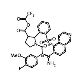 COc1cc([C@@H](C(=O)N2CCC(C(=O)OC(=O)C(F)(F)F)C2c2ccccc2S(=O)(=O)C(C)C)N(N)c2ccc3cnccc3c2)ccc1F